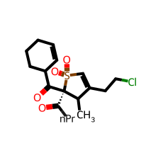 CCCC(=O)[C@@]1(C(=O)C2C=CCCC2)C(C)C(CCCl)=CS1(=O)=O